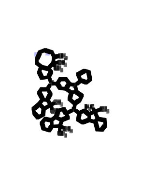 C=C1/C=C\C=C/Cc2ccc(N(c3ccc4c(c3)C(C)(C)c3ccccc3-4)c3ccc4c(c3)c3cc(N(c5ccc6c(c5)C(C)(C)c5ccccc5-6)c5ccc6c(c5)C(C)(C)c5ccccc5-6)ccc3n4-c3ccccc3)cc2C1(C)C